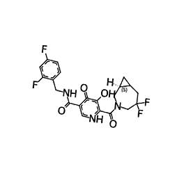 O=C(NCc1ccc(F)cc1F)c1c[nH]c(C(=O)N2C[C@H]3CC3CC(F)(F)C2)c(O)c1=O